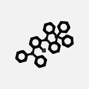 Clc1c(N(c2ccccc2)c2ccccc2)cccc1N1c2ccccc2[Si](c2ccccc2)(c2ccccc2)c2ccccc21